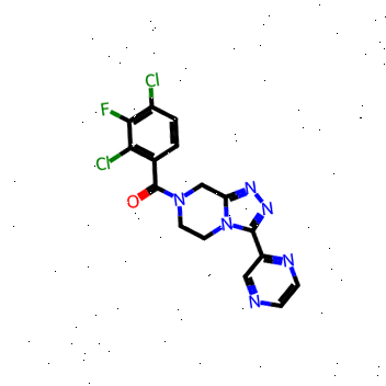 O=C(c1ccc(Cl)c(F)c1Cl)N1CCn2c(nnc2-c2cnccn2)C1